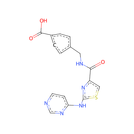 O=C(O)c1ccc(CNC(=O)c2csc(Nc3ccncn3)n2)cc1